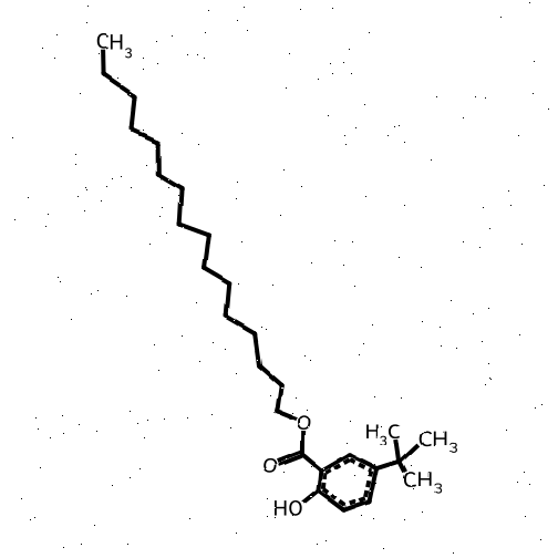 CCCCCCCCCCCCCCCCOC(=O)c1cc(C(C)(C)C)ccc1O